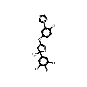 Fc1c(Cl)cc(C2(C(F)(F)F)CC(Oc3ccc(Cl)c(-n4cncn4)c3)=NO2)cc1Cl